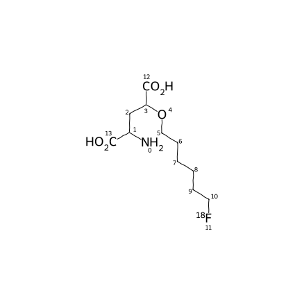 NC(CC(OCCCCCC[18F])C(=O)O)C(=O)O